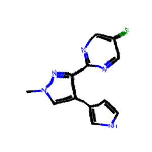 Cn1cc(-c2cc[nH]c2)c(-c2ncc(F)cn2)n1